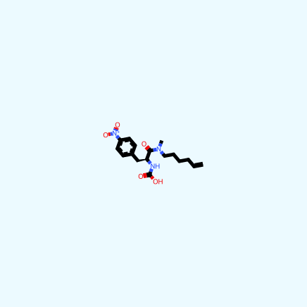 C=CCCCCN(C)C(=O)[C@H](Cc1ccc([N+](=O)[O-])cc1)NC(=O)O